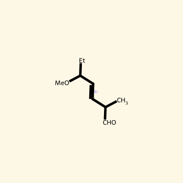 CCC(/C=C/C(C)C=O)OC